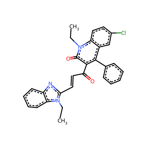 CCn1c(C=CC(=O)c2c(-c3ccccc3)c3cc(Cl)ccc3n(CC)c2=O)nc2ccccc21